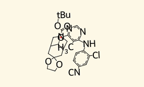 [C-]#[N+]c1ccc(Nc2ncnc(OC3C4CN(C(=O)OC(C)(C)C)CC3CC3(C4)OCCO3)c2C)c(Cl)c1